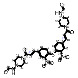 O=CNN1CCN(C(=O)/C=C/c2ccc(Sc3ccc(/C=C/C(=O)N4CCN(NC=O)CC4)cc3[N+](=O)[O-])c([N+](=O)[O-])c2)CC1